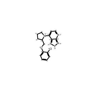 Clc1ccccc1OCC1CCCN1c1ccnc2nsnc12